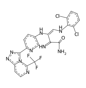 N=C(C(N)=O)/C(=C\Nc1c(Cl)cccc1Cl)Nc1ccc(-c2nnc3ccnc(C(F)(F)F)n23)nc1